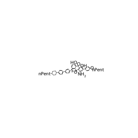 CCCCCOc1ccc(-c2cc(N)c3c(c2O)C(=O)c2c(O)ccc(Sc4ccc(-c5ccc(C6CCC(CCCCC)CC6)cc5)cc4)c2C3=O)cc1